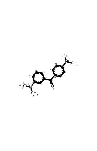 CN(C)c1ccc(C(=O)c2cccc(N(C)C)c2)cc1